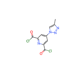 Cc1cn(-c2cc(C(=O)Cl)nc(C(=O)Cl)c2)nn1